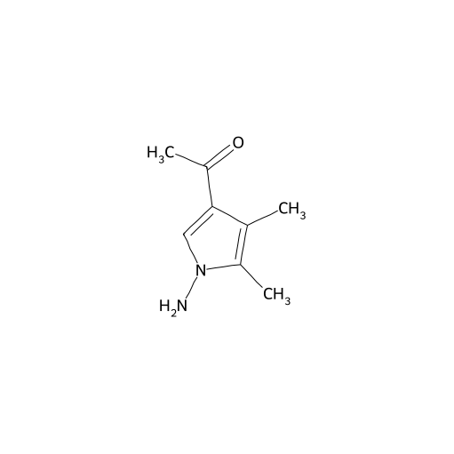 CC(=O)c1cn(N)c(C)c1C